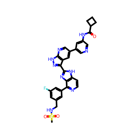 CS(=O)(=O)NCc1cc(F)cc(-c2nccc3[nH]c(-c4n[nH]c5ncc(-c6cncc(NC(=O)C7CCC7)c6)cc45)nc23)c1